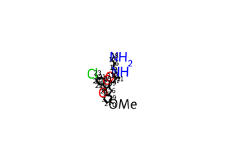 COc1cccc(Cc2c([CH]C(C)C(=O)NCCCN)oc3cc(Cl)ccc3c2=O)c1